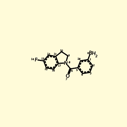 Bc1cccc(C(=O)N2CCc3cc(F)ccc32)c1